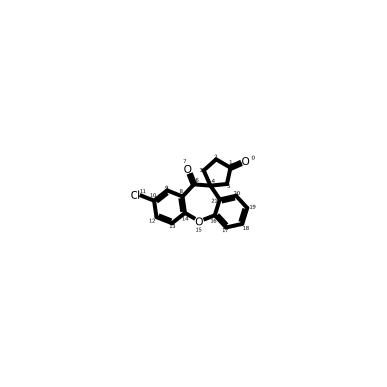 O=C1CCC2(C1)C(=O)c1cc(Cl)ccc1Oc1ccccc12